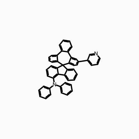 c1ccc(N(c2ccccc2)c2cccc3c2-c2ccccc2C32c3ccccc3-c3ccccc3-c3cc(-c4cccnc4)ccc32)cc1